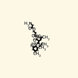 C/C(C=O)=C/C(C(=O)NOCCOC(=O)CN)=C(/Nc1ccc(C)cc1F)N(C)C